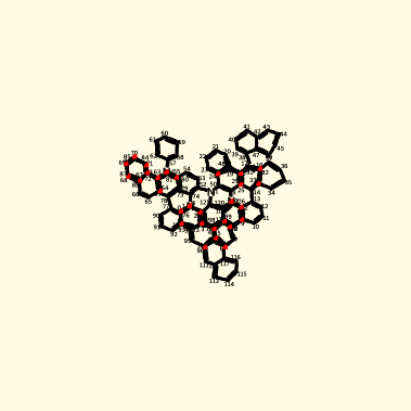 c1ccc(-c2cccc(-c3cccc(-c4cccc(-c5ccccc5)c4)c3N3c4cc(N(c5ccccc5)c5cccc6ccccc56)ccc4N4c5ccc(N(c6ccccc6)c6cccc7ccccc67)cc5N(c5c(-c6cccc(-c7ccccc7)c6)cccc5-c5cccc(-c6ccccc6)c5)c5cc(-c6ccc7ccccc7c6)cc3c54)c2)cc1